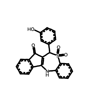 O=C1C2=C(Nc3ccccc3S(=O)(=O)C2c2cccc(O)c2)c2ccccc21